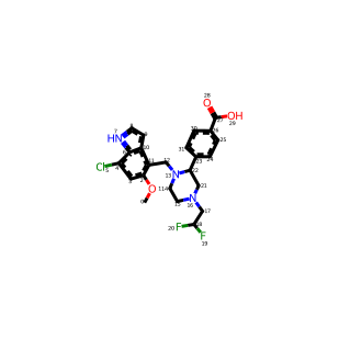 COc1cc(Cl)c2[nH]ccc2c1CN1CCN(CC(F)F)CC1c1ccc(C(=O)O)cc1